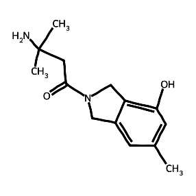 Cc1cc(O)c2c(c1)CN(C(=O)CC(C)(C)N)C2